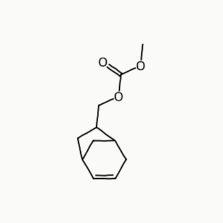 COC(=O)OCC1CC2C=CCC1C2